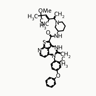 C=C(/C(C#N)=C/C(C)(C)OC)N1CCC[C@@H](NC(=O)c2sc3nccc4c3c2[nH]c(=C)n4-c2ccc(Oc3ccccc3)cc2C)C1